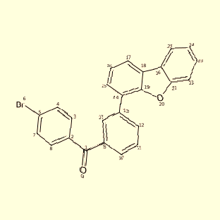 O=C(c1ccc(Br)cc1)c1cccc(-c2cccc3c2oc2ccccc23)c1